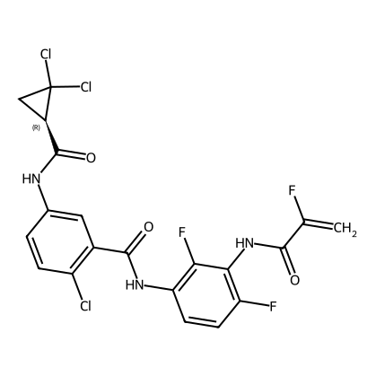 C=C(F)C(=O)Nc1c(F)ccc(NC(=O)c2cc(NC(=O)[C@H]3CC3(Cl)Cl)ccc2Cl)c1F